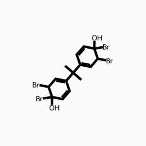 CC(C)(C1=CC(Br)C(O)(Br)C=C1)C1=CC(Br)C(O)(Br)C=C1